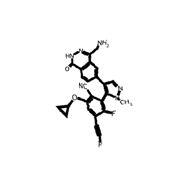 Cn1ncc(-c2ccc3c(=O)[nH]nc(CN)c3c2)c1-c1c(F)c(C#CF)cc(OC2CC2)c1C#N